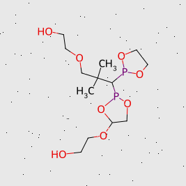 CC(C)(COCCO)C(P1OCCO1)P1OCC(OCCO)O1